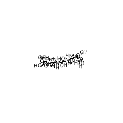 O=[PH](S)O[C@@H]1[C@@H](CO)OC(n2cnc3c(NC[C@H](O)[C@@H](O)CNc4ncnc5c4ncn5[C@@H]4OC(CO)[C@@H](O[PH](=O)S)[C@H]4F)ncnc32)[C@@H]1F